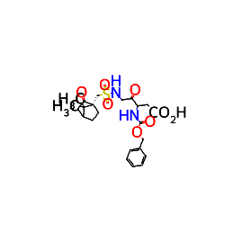 CC1(C)C2CC[C@]1(CS(=O)(=O)NCC(=O)C(CC(=O)O)NC(=O)OCc1ccccc1)C(=O)C2